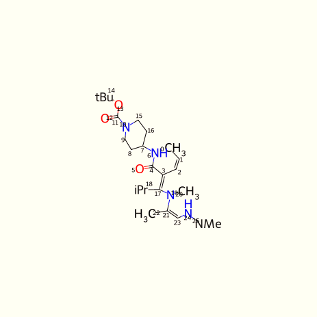 C/C=C\C(C(=O)NC1CCN(C(=O)OC(C)(C)C)CC1)=C(\C(C)C)N(C)/C(C)=C\NNC